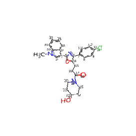 Cn1cc(-c2nc(-c3ccc(Cl)cc3)c(CCC(=O)N3CCC(O)CC3)o2)c2ccccc21